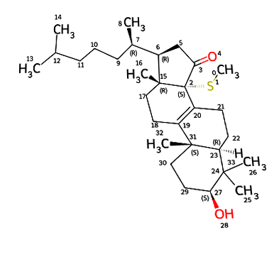 CS[C@@]12C(=O)C[C@H]([C@H](C)CCCC(C)C)[C@@]1(C)CCC1=C2CC[C@H]2C(C)(C)[C@@H](O)CC[C@]12C